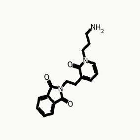 NCCCn1cccc(CCN2C(=O)c3ccccc3C2=O)c1=O